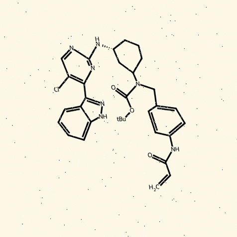 C=CC(=O)Nc1ccc(CN(C(=O)OC(C)(C)C)C2CCC[C@@H](Nc3ncc(Cl)c(-c4n[nH]c5ccccc45)n3)C2)cc1